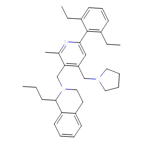 CCCC1c2ccccc2CCN1Cc1c(CN2CCCC2)cc(-c2c(CC)cccc2CC)nc1C